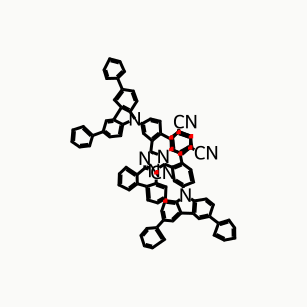 N#Cc1ccc(-c2ccc(-n3c4ccc(-c5ccccc5)cc4c4cc(-c5ccccc5)ccc43)cc2-c2nc(-c3cc(-n4c5ccc(-c6ccccc6)cc5c5cc(-c6ccccc6)ccc54)ccc3-c3ccc(C#N)cc3)nc(-c3ccccc3-c3ccccc3C#N)n2)cc1